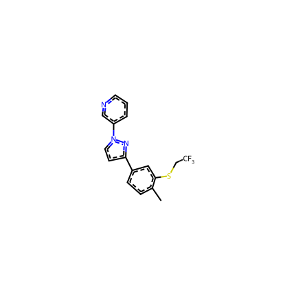 Cc1ccc(-c2ccn(-c3cccnc3)n2)cc1SCC(F)(F)F